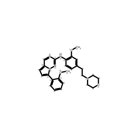 COc1cc(CCN2CCOCC2)ccc1Nc1ncc2ccc(-c3ccccc3OC)n2n1